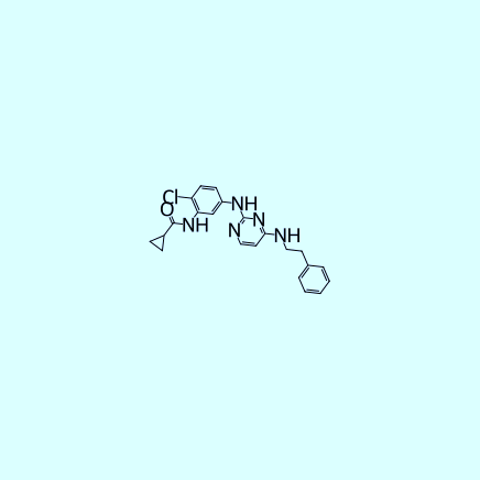 O=C(Nc1cc(Nc2nccc(NCCc3ccccc3)n2)ccc1Cl)C1CC1